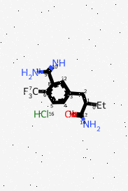 CCC(Cc1ccc(C(F)(F)F)c(C(=N)N)c1)C(N)=O.Cl